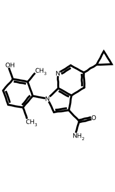 Cc1ccc(O)c(C)c1-n1cc(C(N)=O)c2cc(C3CC3)cnc21